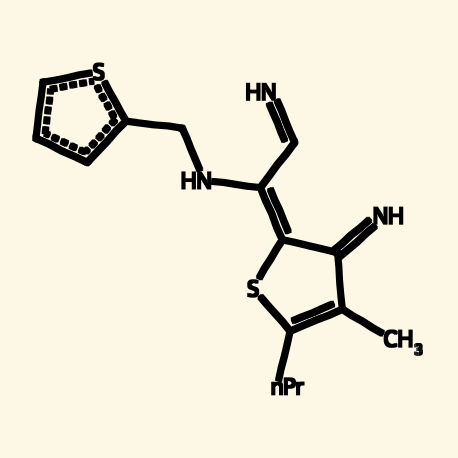 CCCC1=C(C)C(=N)/C(=C(\C=N)NCc2cccs2)S1